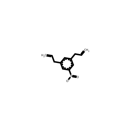 C=CCc1cc(CC=C)cc([N+](=O)[O-])c1